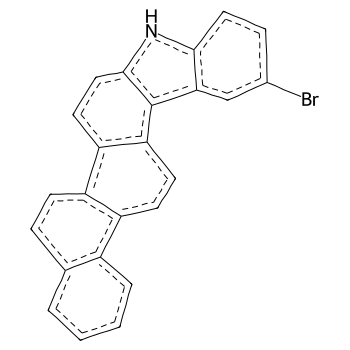 Brc1ccc2[nH]c3ccc4c5ccc6ccccc6c5ccc4c3c2c1